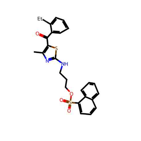 CCc1ccccc1C(=O)c1sc(NCCCOS(=O)(=O)c2cccc3ccccc23)nc1C